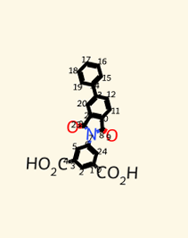 O=C(O)c1cc(C(=O)O)cc(N2C(=O)c3ccc(-c4ccccc4)cc3C2=O)c1